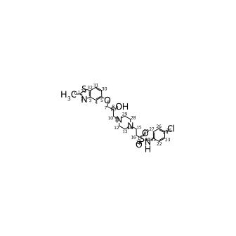 Cc1nc2cc(OC[C@H](O)CN3CCN(CCS(=O)(=O)Nc4ccc(Cl)cc4)CC3)ccc2s1